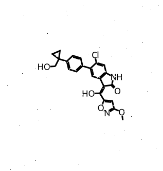 COc1cc(/C(O)=C2\C(=O)Nc3cc(Cl)c(-c4ccc(C5(CO)CC5)cc4)cc32)on1